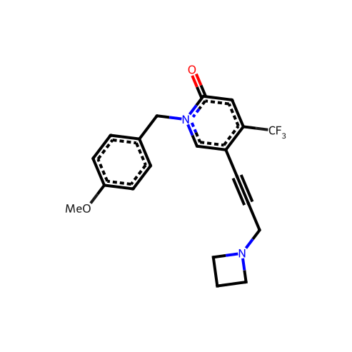 COc1ccc(Cn2cc(C#CCN3CCC3)c(C(F)(F)F)cc2=O)cc1